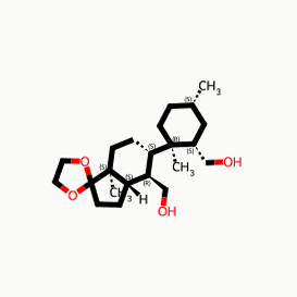 C[C@H]1CC[C@](C)([C@H]2CC[C@@]3(C)[C@@H](CCC34OCCO4)[C@@H]2CO)[C@@H](CO)C1